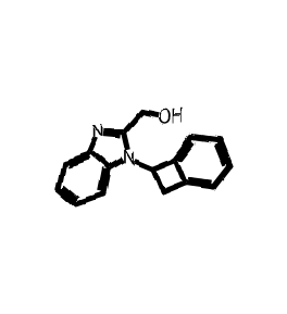 OCc1nc2ccccc2n1C1Cc2ccccc21